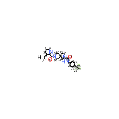 Cc1cccnc1C(=O)N1CCC2(CCN(C(=O)Nc3ccc(C(F)(F)F)cc3)C2)CC1